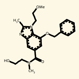 COCCn1c(C)nc2cc(C(=O)N(C)CCO)cc(OCc3ccccc3)c21